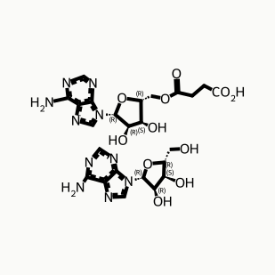 Nc1ncnc2c1ncn2[C@@H]1O[C@H](CO)[C@@H](O)[C@H]1O.Nc1ncnc2c1ncn2[C@@H]1O[C@H](COC(=O)CCC(=O)O)[C@@H](O)[C@H]1O